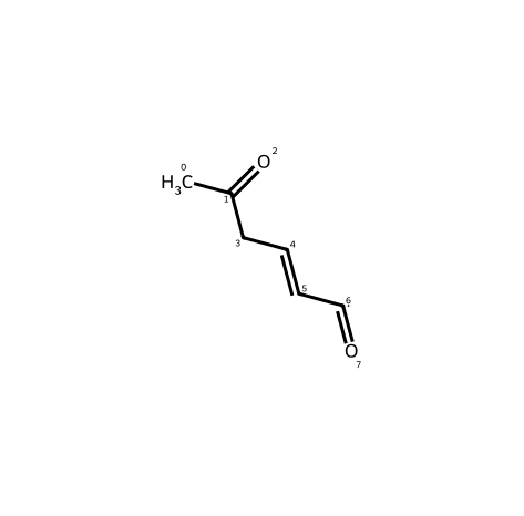 CC(=O)CC=C[C]=O